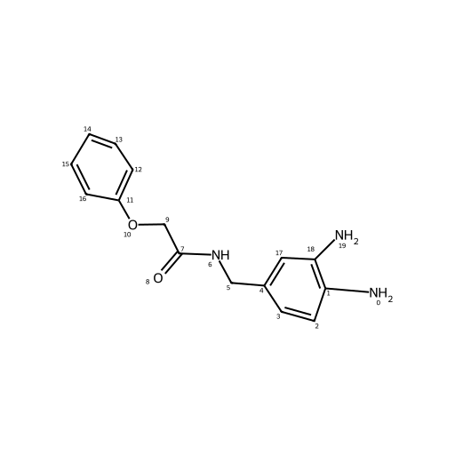 Nc1ccc(CNC(=O)COc2ccccc2)cc1N